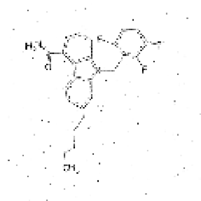 CCCCCc1c[c]c2c3c(C(N)=O)cccc3n(Cc3c(F)ccc(F)c3F)c2c1